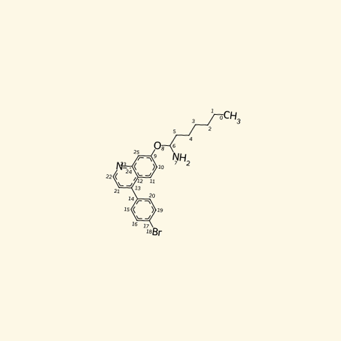 CCCCCCC(N)Oc1ccc2c(-c3ccc(Br)cc3)ccnc2c1